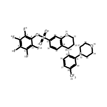 O=S(=O)(Oc1c(F)c(F)c(F)c(F)c1F)c1ccc2c(c1)OCC[C@@H]2c1ccc(C(F)(F)F)cc1N1CCOCC1